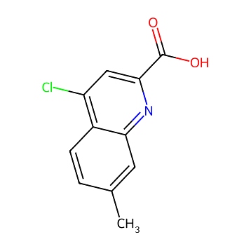 Cc1ccc2c(Cl)cc(C(=O)O)nc2c1